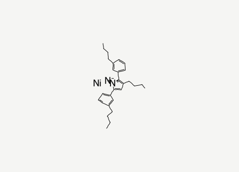 CCCCC1=C(c2cccc(CCCC)c2)[N+](=[N-])C(c2cccc(CCCC)c2)=C1.[Ni]